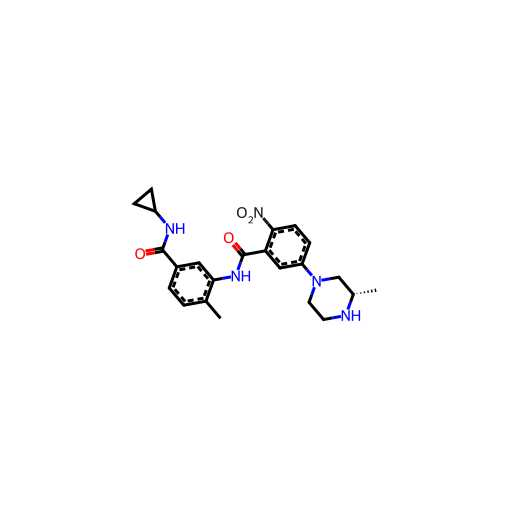 Cc1ccc(C(=O)NC2CC2)cc1NC(=O)c1cc(N2CCN[C@@H](C)C2)ccc1[N+](=O)[O-]